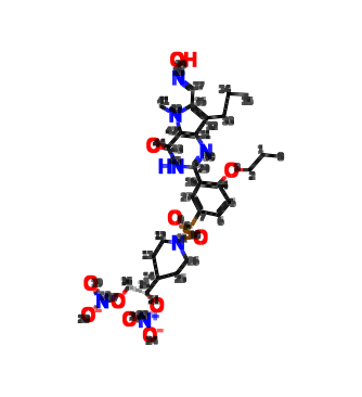 CCCOc1ccc(S(=O)(=O)N2CCC([C@@H](CO[N+](=O)[O-])O[N+](=O)[O-])CC2)cc1-c1nc2c(CCC)c(/C=N/O)n(C)c2c(=O)[nH]1